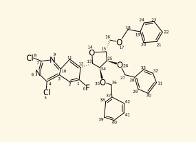 Fc1cc2c(Cl)nc(Cl)nc2cc1[C@@H]1O[C@H](COCc2ccccc2)[C@@H](OCc2ccccc2)[C@H]1OCc1ccccc1